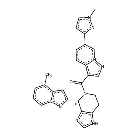 Cn1ccc(-c2ccc3c(C(=O)N4CCc5[nH]cnc5[C@@H]4c4cc5c(C(F)(F)F)cccn5n4)cnn3c2)n1